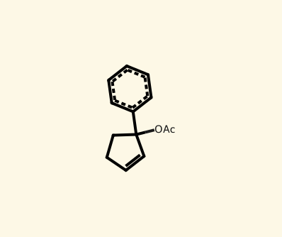 CC(=O)OC1(c2ccccc2)C=CCC1